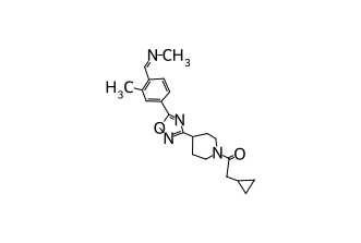 C/N=C\c1ccc(-c2nc(C3CCN(C(=O)CC4CC4)CC3)no2)cc1C